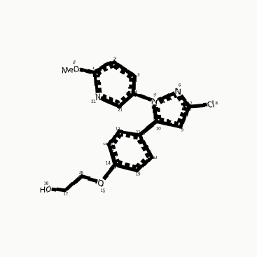 COc1ccc(-n2nc(Cl)cc2-c2ccc(OCCO)cc2)cn1